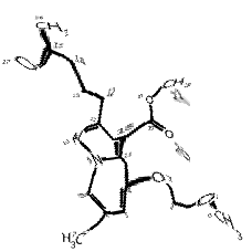 COCOc1cc(C)cn2nc(CCCC(C)=O)c(C(=O)OC)c12